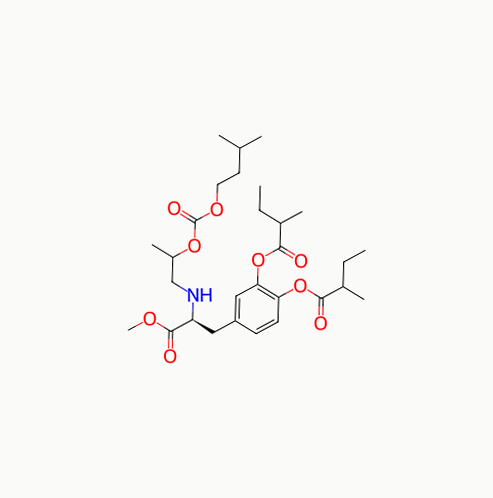 CCC(C)C(=O)Oc1ccc(C[C@H](NCC(C)OC(=O)OCCC(C)C)C(=O)OC)cc1OC(=O)C(C)CC